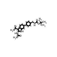 CC(C)(C)OC(=O)NCc1ccc(-c2ccc3c(C(N)=O)c(NC(N)=O)[nH]c3c2)cc1